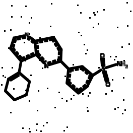 NS(=O)(=O)c1cccc(-c2ccc3nccc(C4=CCCCC4)c3n2)c1